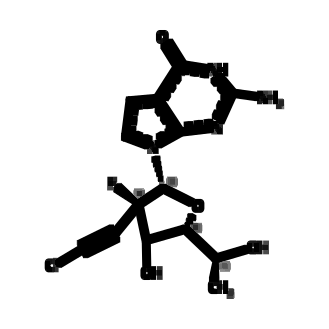 C[C@H](O)[C@H]1O[C@@H](n2ccc3c(=O)[nH]c(N)nc32)[C@@](F)(C#CCl)C1O